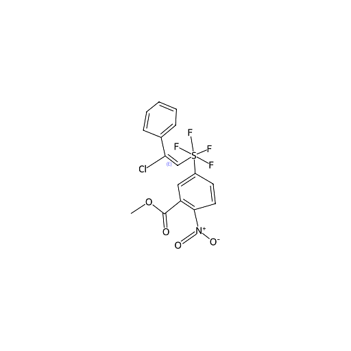 COC(=O)c1cc(S(F)(F)(F)(F)/C=C(/Cl)c2ccccc2)ccc1[N+](=O)[O-]